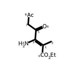 CCOC(=O)C(C)=C(N)C(=O)CC(C)=O